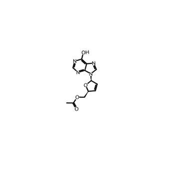 CC(=O)OC[C@@H]1C=C[C@H](n2cnc3c(O)ncnc32)O1